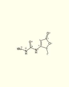 CC1OC(=O)C=C1NC(=O)NC(C)(C)C